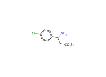 CCOC(=O)CC(N)c1ccc(Cl)cc1